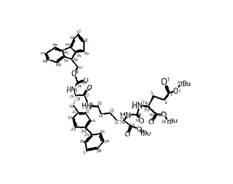 CC(C)(C)OC(=O)CC[C@H](NC(=O)N[C@@H](CCCCNC(=O)[C@H](Cc1ccc(-c2ccccc2)cc1)NC(=O)OCC1c2ccccc2-c2ccccc21)C(=O)OC(C)(C)C)C(=O)OC(C)(C)C